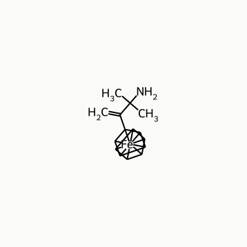 C=C(C(C)(C)N)[C]12[CH]3[CH]4[CH]5[CH]1[Fe]45321678[CH]2[CH]1[CH]6[CH]7[CH]28